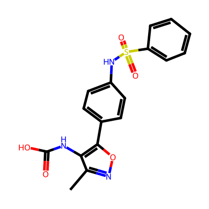 Cc1noc(-c2ccc(NS(=O)(=O)c3ccccc3)cc2)c1NC(=O)O